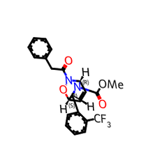 COC(=O)N1[C@H](c2ccccc2C(F)(F)F)[C@@H]2C=C[C@H]1N(C(=O)Cc1ccccc1)O2